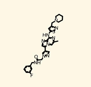 Cc1cn2c(-c3cnn(CC(=O)NCc4cccc(F)c4)c3)cnc2c(Nc2cc(CN3CCCCC3)ns2)n1